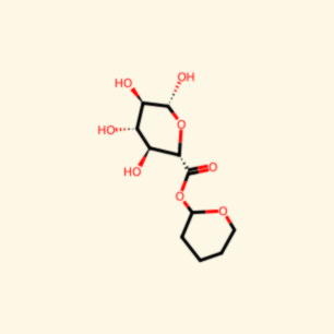 O=C(OC1CCCCO1)[C@H]1O[C@@H](O)[C@H](O)[C@@H](O)[C@@H]1O